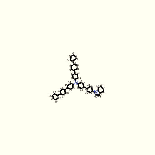 c1ccc(-c2ccc(-c3ccc(N(c4ccc(-c5ccc(-c6ccccc6)cc5)cc4)c4ccc(-c5ccc(-n6ccc7ccccc76)cc5)cc4)cc3)cc2)cc1